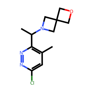 Cc1cc(Cl)nnc1C(C)N1CC2(COC2)C1